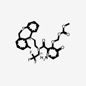 COC(=O)OCOc1c(C(=O)N(CC[C@@H]2c3ccccc3SCc3cccc(C)c32)[C@H](C)C(F)(F)F)n(N)ccc1=O